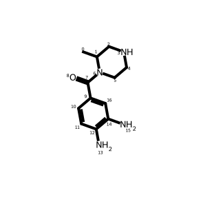 CC1CNCCN1C(=O)c1ccc(N)c(N)c1